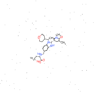 CCC(NCc1ccc2c(c1)NC(c1cc(C)c(=O)n(C)c1)N2C(C)C1CCOCC1)C(=O)O